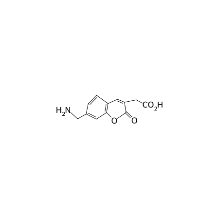 NCc1ccc2cc(CC(=O)O)c(=O)oc2c1